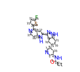 CCC(=O)Nc1cncc(-c2ccc3[nH]nc(-c4cc5c(-c6ccc(F)s6)nccc5[nH]4)c3c2)c1